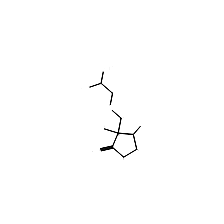 CC(=O)NC(CSCC1(C)C(=O)CCC1O)C(=O)O